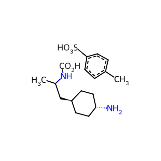 CC(C[C@H]1CC[C@H](N)CC1)NC(=O)O.Cc1ccc(S(=O)(=O)O)cc1